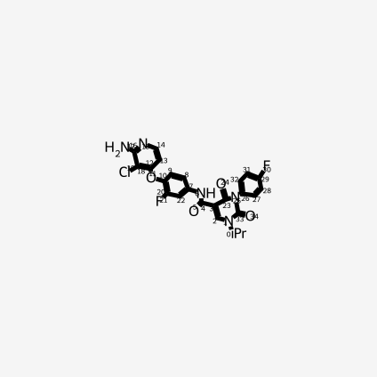 CC(C)n1cc(C(=O)Nc2ccc(Oc3ccnc(N)c3Cl)c(F)c2)c(=O)n(-c2ccc(F)cc2)c1=O